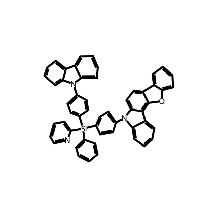 c1ccc([Si](c2ccc(-n3c4ccccc4c4ccccc43)cc2)(c2ccc(-n3c4ccccc4c4c5oc6ccccc6c5ccc43)cc2)c2ccccn2)cc1